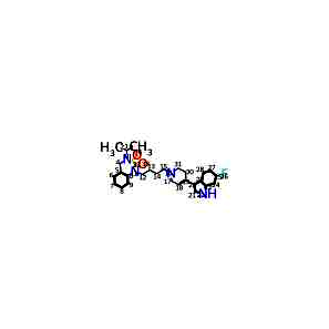 CC(C)N1Cc2ccccc2N(CCCCN2CC=C(c3c[nH]c4cc(F)ccc34)CC2)S1(=O)=O